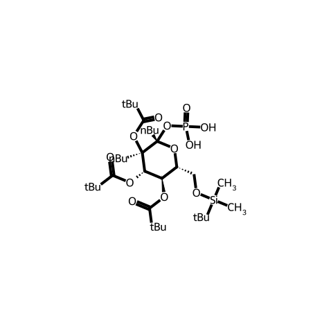 CCCC[C@@]1(OP(=O)(O)O)O[C@H](CO[Si](C)(C)C(C)(C)C)[C@@H](OC(=O)C(C)(C)C)[C@H](OC(=O)C(C)(C)C)[C@@]1(CCCC)OC(=O)C(C)(C)C